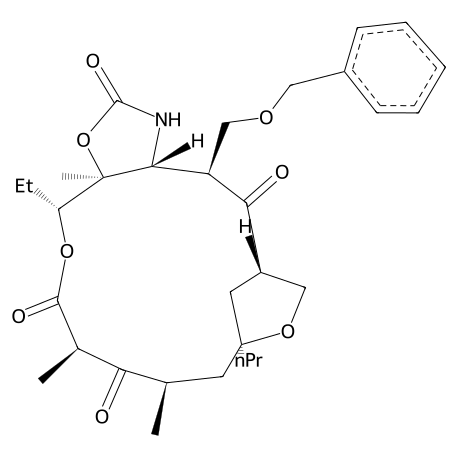 CCC[C@]12C[C@@H](CO1)C(=O)[C@H](COCc1ccccc1)[C@H]1NC(=O)O[C@]1(C)[C@@H](CC)OC(=O)[C@H](C)C(=O)[C@H](C)C2